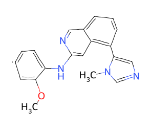 COc1c[c]ccc1Nc1cc2c(-c3cncn3C)cccc2cn1